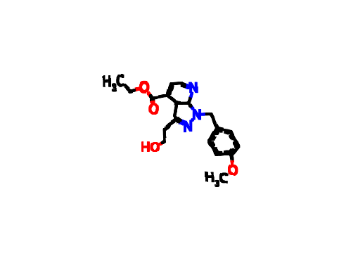 CCOC(=O)C1=CC=NC2C1C(CCO)=NN2Cc1ccc(OC)cc1